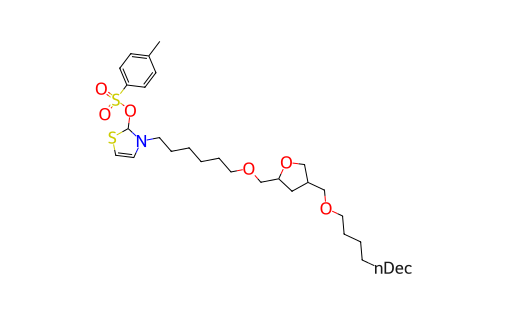 CCCCCCCCCCCCCCOCC1COC(COCCCCCCN2C=CSC2OS(=O)(=O)c2ccc(C)cc2)C1